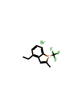 CCc1cccc2c1cc(C)[s+]2C(F)(F)F.[Br-]